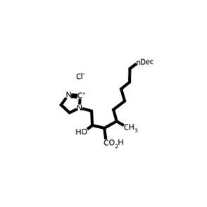 CCCCCCCCCCCCCCCC(C)C(C(=O)O)C(O)CN1[C+]=NCC1.[Cl-]